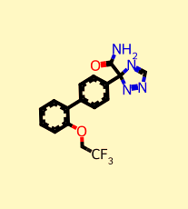 NC(=O)C1(c2ccc(-c3ccccc3OCC(F)(F)F)cc2)N=CN=N1